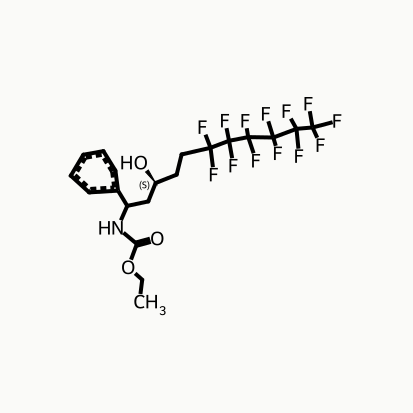 CCOC(=O)NC(C[C@@H](O)CCC(F)(F)C(F)(F)C(F)(F)C(F)(F)C(F)(F)C(F)(F)F)c1ccccc1